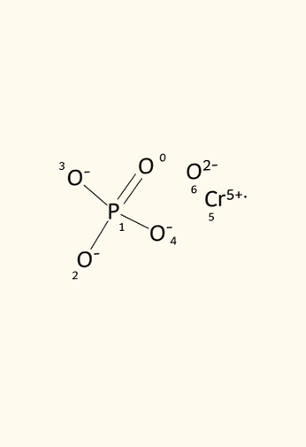 O=P([O-])([O-])[O-].[Cr+5].[O-2]